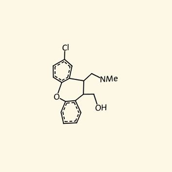 CNCC1c2cc(Cl)ccc2Oc2ccccc2C1CO